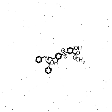 COC(=O)c1cc(S(=O)(=O)c2ccc(CCN(Cc3ccccc3)C[C@@H](O)c3ccccc3)cc2)ccc1O